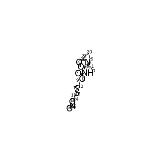 CC[C@@H](C(=O)NC(=O)OCCSSCCON=O)N1CCCC1=O